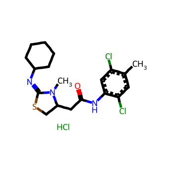 Cc1cc(Cl)c(NC(=O)CC2CSC(=NC3CCCCC3)N2C)cc1Cl.Cl